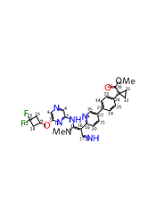 CN/C(Nc1cncc(OC2CC(F)(F)C2)n1)=C(\C=N)c1ccc(-c2ccc(C3(C(=O)OC)CC3)cc2)cn1